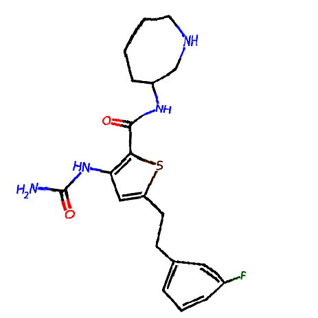 NC(=O)Nc1cc(CCc2cccc(F)c2)sc1C(=O)NC1CCCCNC1